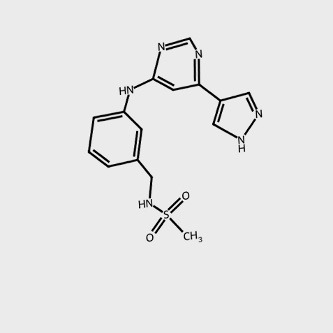 CS(=O)(=O)NCc1cccc(Nc2cc(-c3cn[nH]c3)ncn2)c1